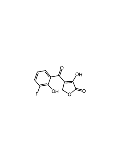 O=C1OCC(C(=O)c2cccc(F)c2O)=C1O